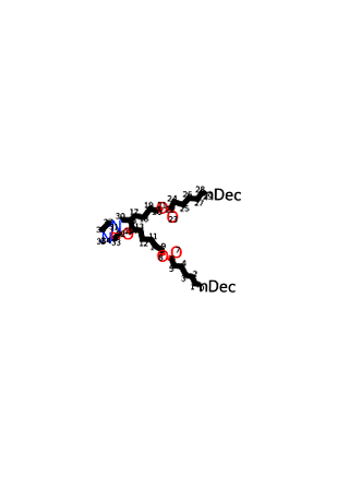 CCCCCCCCCCCCCCCC(=O)OCCCCCC(O)C(CCCCOC(=O)CCCCCCCCCCCCCCC)CN1CCN(C)CC1